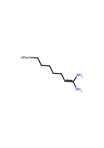 CCCCCCCCCCC=C(N)N